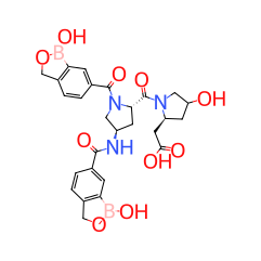 O=C(O)C[C@@H]1CC(O)CN1C(=O)[C@@H]1C[C@@H](NC(=O)c2ccc3c(c2)B(O)OC3)CN1C(=O)c1ccc2c(c1)B(O)OC2